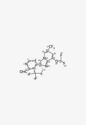 O=Cc1nccc2c1C(F)(F)CC[C@@]21CN2C=C(C(F)(F)F)C=C(OC(F)F)C2=N1